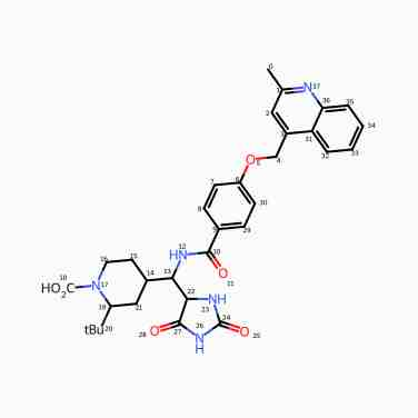 Cc1cc(COc2ccc(C(=O)NC(C3CCN(C(=O)O)C(C(C)(C)C)C3)C3NC(=O)NC3=O)cc2)c2ccccc2n1